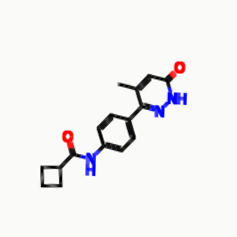 Cc1cc(=O)[nH]nc1-c1ccc(NC(=O)C2CCC2)cc1